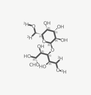 [2H]OC([2H])[C@@H](O)[C@H](O[C@H]1O[C@H](C([2H])O[2H])[C@H](O)[C@H](O)[C@H]1O)[C@H](O)[C@@H](O)C=O